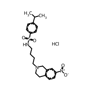 CC(C)c1ccc(S(=O)(=O)NCCCCN2CCc3ccc([N+](=O)[O-])cc3C2)cc1.Cl